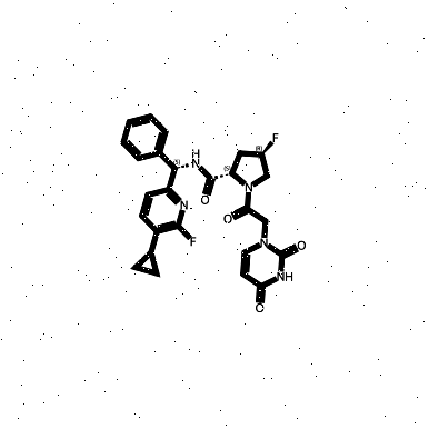 O=C(N[C@@H](c1ccccc1)c1ccc(C2CC2)c(F)n1)[C@@H]1C[C@@H](F)CN1C(=O)Cn1ccc(=O)[nH]c1=O